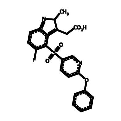 CC1N=c2ccc(F)c(S(=O)(=O)c3ccc(Oc4ccccc4)nc3)c2=C1CC(=O)O